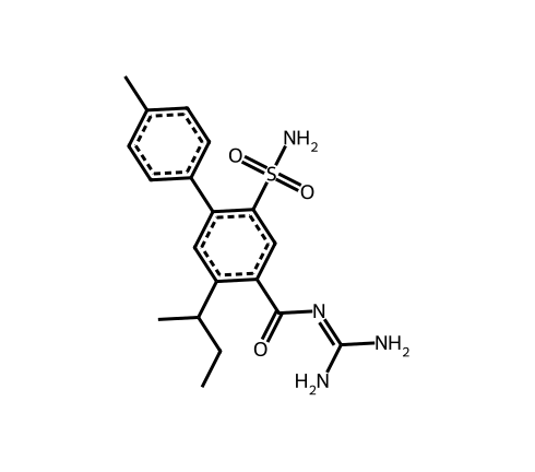 CCC(C)c1cc(-c2ccc(C)cc2)c(S(N)(=O)=O)cc1C(=O)N=C(N)N